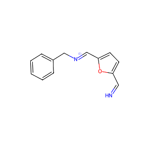 N=Cc1ccc(/C=N/Cc2ccccc2)o1